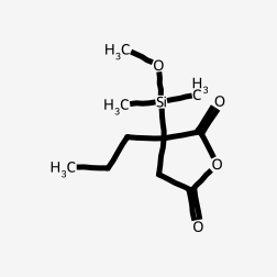 CCCC1([Si](C)(C)OC)CC(=O)OC1=O